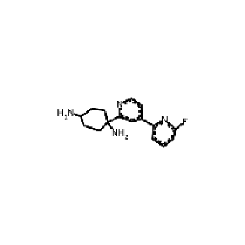 NC1CCC(N)(c2cc(-c3cccc(F)n3)ccn2)CC1